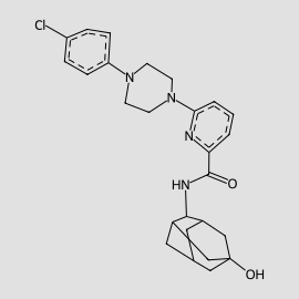 O=C(NC1C2CC3CC1CC(O)(C3)C2)c1cccc(N2CCN(c3ccc(Cl)cc3)CC2)n1